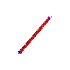 [N-]=[N+]=NCCOCCOCCOCCOCCOCCOCCOCCOCCOCCOCCOCCOCCOCCOCCOCCOCCOCCOCCOCCOCCOCCOCCOCCN=[N+]=[N-]